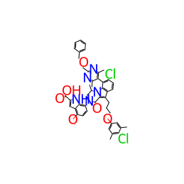 COc1ccc(N2CC(C)n3c(c(CCCOc4cc(C)c(Cl)c(C)c4)c4ccc(Cl)c(-c5c(C)nc(COCc6ccccc6)nc5C)c43)C2=O)c2[nH]c(C(=O)O)cc12